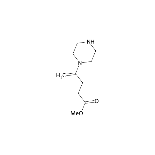 C=C(CCC(=O)OC)N1CCNCC1